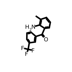 Cc1cccc(C(=O)c2cccc(C(F)(F)F)c2)c1N